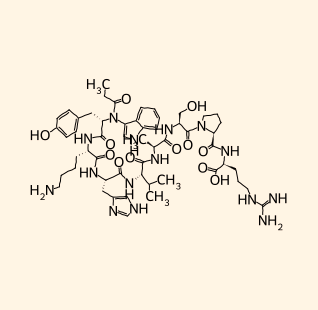 CCC(=O)N(c1c[nH]c2ccccc12)[C@@H](Cc1ccc(O)cc1)C(=O)N[C@@H](CCCCN)C(=O)N[C@@H](Cc1c[nH]cn1)C(=O)N[C@H](C(=O)N[C@@H](C)C(=O)N[C@@H](CO)C(=O)N1CCC[C@H]1C(=O)N[C@@H](CCCNC(=N)N)C(=O)O)C(C)C